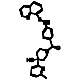 Cc1cccc(C2(O)CCN(C(=O)c3ccc(NSc4cccc5cccnc45)cc3)CC2)n1